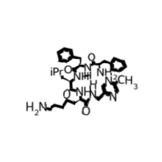 Cc1cnc(CNC(=O)[C@@H](CCCCCN)NC(=O)[C@@H](CC(C)C)NC(=O)[C@@H](Cc2ccccc2)NC(=O)[C@H](N)Cc2ccccc2)cn1